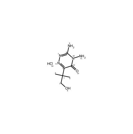 CC(C)(CO)c1nnc(N)n(N)c1=O.Cl